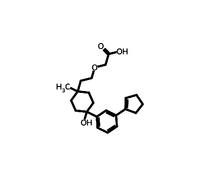 CC1(CCOCC(=O)O)CCC(O)(c2cccc(C3=CCCC3)c2)CC1